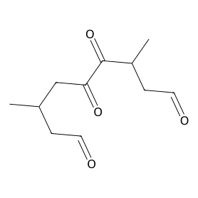 CC(CC=O)CC(=O)C(=O)C(C)CC=O